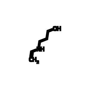 C=CNCCCO